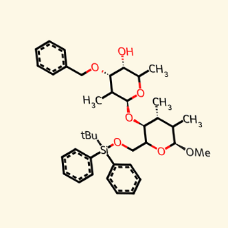 CO[C@H]1OC(CO[Si](c2ccccc2)(c2ccccc2)C(C)(C)C)[C@@H](O[C@@H]2OC(C)[C@@H](O)[C@@H](OCc3ccccc3)C2C)[C@H](C)C1C